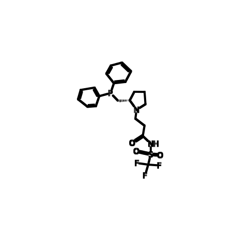 O=C(CCN1CCC[C@H]1CP(c1ccccc1)c1ccccc1)NS(=O)(=O)C(F)(F)F